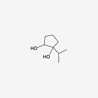 CC(C)C1(O)CCCC1O